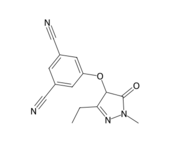 CCC1=NN(C)C(=O)C1Oc1cc(C#N)cc(C#N)c1